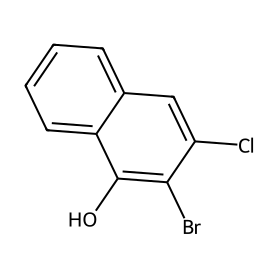 Oc1c(Br)c(Cl)cc2ccccc12